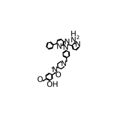 CN(C(=O)c1ccc(C=O)c(O)c1)C1CCN(Cc2ccc(-n3c(-c4cccnc4N)nc4ccc(-c5ccccc5)nc43)cc2)CC1